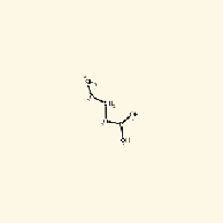 OP(O)O[SiH2]O[SiH3]